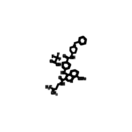 COc1cccc2c(Nc3ccc(C(=O)NC4CCN(Cc5ccccc5)CC4)cc3)c(C(=O)NCCN(C)C)cnc12.O=C(O)C(F)(F)F